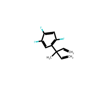 C=CC(C)(C=C)c1cc(F)c(F)cc1F